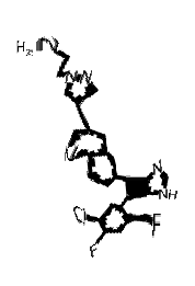 NCCn1cc(-c2cnc3ccc(-c4nc[nH]c4-c4cc(Cl)c(F)cc4F)cc3c2)cn1